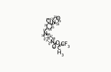 CC(OC(=O)N1CCC2(CCN(Cc3ccc(N4CCOCC4)c(Cl)c3)C2)CC1)C(F)(F)F